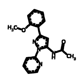 COc1ccccc1-c1cc(NC(C)=O)n(-c2ccccn2)n1